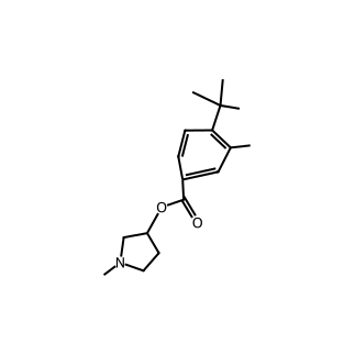 Cc1cc(C(=O)OC2CCN(C)C2)ccc1C(C)(C)C